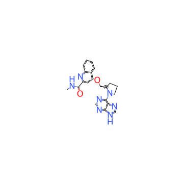 CNC(=O)c1cc(OC[C@H]2CCCN2c2ncnc3[nH]cnc23)c2ccccc2n1